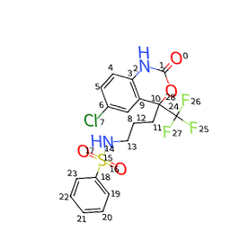 O=C1Nc2ccc(Cl)cc2C(CCCNS(=O)(=O)c2ccccc2)(C(F)(F)F)O1